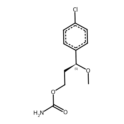 CO[C@@H](CCOC(N)=O)c1ccc(Cl)cc1